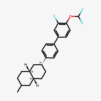 CC1CC[C@@H]2C[C@H](c3ccc(-c4ccc(OC(F)F)c(F)c4)cc3)CC[C@@H]2C1